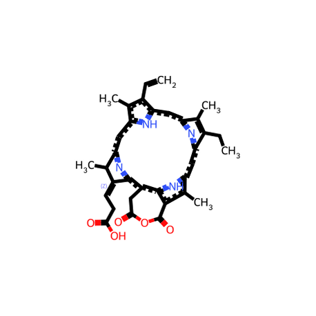 C=Cc1c(C)c2cc3nc(c4c5[nH]c(cc6nc(cc1[nH]2)C(C)=C6CC)c(C)c5C(=O)OC(=O)C4)/C(=C\CC(=O)O)C3C